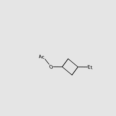 CCC1CC(OC(C)=O)C1